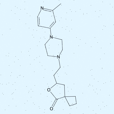 Cc1cc(N2CCN(CCC3CC4(CCC4)C(=O)O3)CC2)ccn1